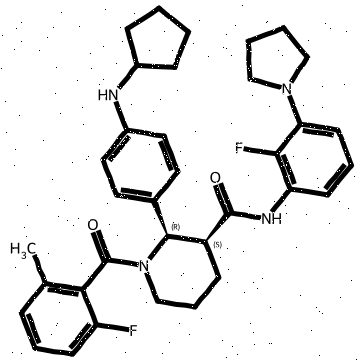 Cc1cccc(F)c1C(=O)N1CCC[C@H](C(=O)Nc2cccc(N3CCCC3)c2F)[C@@H]1c1ccc(NC2CCCC2)cc1